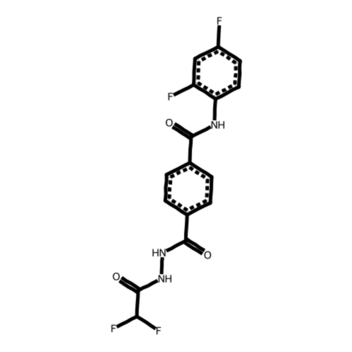 O=C(NNC(=O)C(F)F)c1ccc(C(=O)Nc2ccc(F)cc2F)cc1